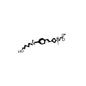 COC(=O)CCS(=O)(=O)c1ccc(/C=C/c2ccc(N(C)CCCCCCO)cc2)cc1